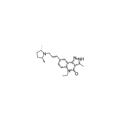 CCn1c(=O)c2c(C)[nH]nc2c2cc(/C=C/CN3[C@@H](C)CC[C@@H]3C)ccc21